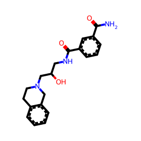 NC(=O)c1cccc(C(=O)NCC(O)CN2CCc3ccccc3C2)c1